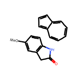 COc1ccc2c(c1)CC(=O)N2.c1ccc2cccc-2cc1